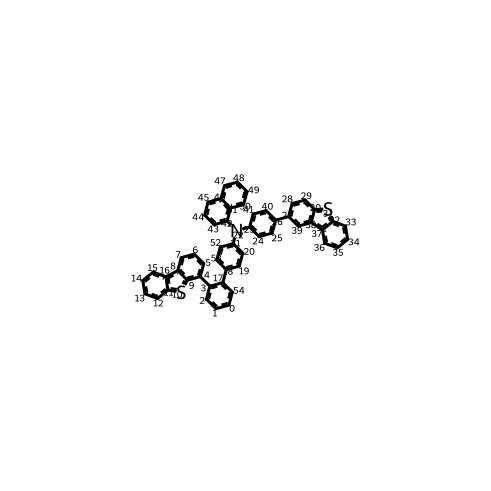 c1ccc(-c2cccc3c2sc2ccccc23)c(-c2ccc(N(c3ccc(-c4ccc5sc6ccccc6c5c4)cc3)c3cccc4ccccc34)cc2)c1